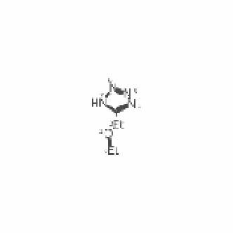 CCOCC.c1nnn[nH]1